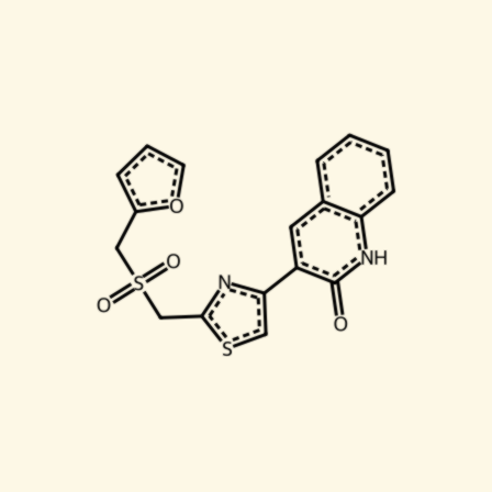 O=c1[nH]c2ccccc2cc1-c1csc(CS(=O)(=O)Cc2ccco2)n1